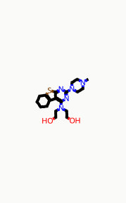 CN1CCN(c2nc(N(CCO)CCO)c3c4c(sc3n2)CCCC4)CC1